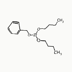 CCCC[O][Zr]([O]CCCC)[O]Cc1ccccc1